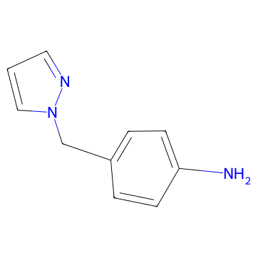 Nc1ccc(Cn2cccn2)cc1